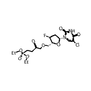 CCOP(=O)(CCC(=O)COC[C@H]1O[C@@H](n2cc(Cl)c(=O)[nH]c2=O)C[C@@H]1F)OCC